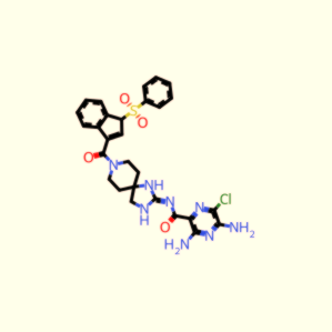 Nc1nc(N)c(C(=O)/N=C2\NCC3(CCN(C(=O)C4=CC(S(=O)(=O)c5ccccc5)c5ccccc54)CC3)N2)nc1Cl